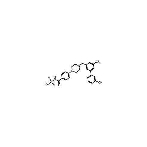 CC(C)(C)S(=O)(=O)NC(=O)c1ccc(N2CCN(Cc3cc(-c4cccc(O)c4)cc(C(F)(F)F)c3)CC2)cc1